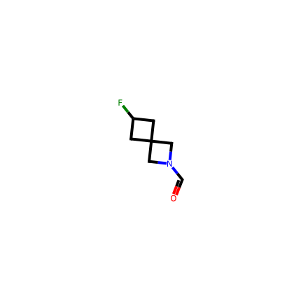 O=CN1CC2(CC(F)C2)C1